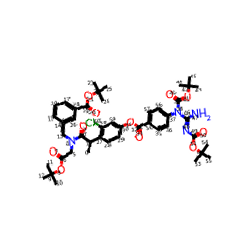 CC(C(=O)N(CC(=O)OC(C)(C)C)Cc1cccc(C(=O)OC(C)(C)C)c1)c1ccc(OC(=O)c2ccc(N(C(=O)OC(C)(C)C)C(N)=NC(=O)OC(C)(C)C)cc2)cc1Cl